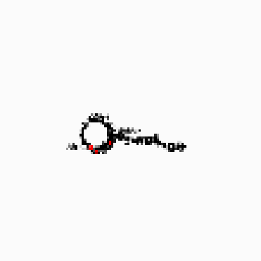 CO[C@H]1C[C@@H]2CC[C@@H](C)[C@@](O)(O2)C(=O)C(=O)N2CCCC[C@H]2C(=O)O[C@H]([C@H](N)CC2CC[C@@H](OC(=O)NCc3cnc(N4CCN(C(=O)CCOCCN5CCN(c6ncc(C)cn6)CC5)CC4)nc3)[C@H](OC)C2)CC(=O)[C@H](C)/C=C(\C)[C@@H](O)[C@@H](O)C(=O)C(C)C[C@H](C)/C=C/C=C/C=C/1C